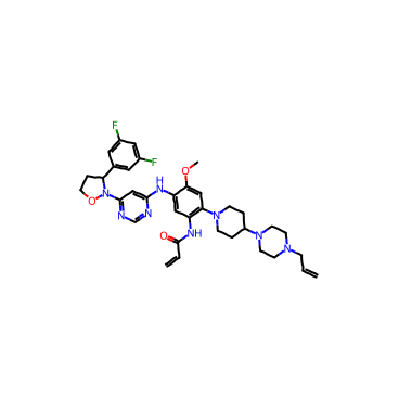 C=CCN1CCN(C2CCN(c3cc(OC)c(Nc4cc(N5OCCC5c5cc(F)cc(F)c5)ncn4)cc3NC(=O)C=C)CC2)CC1